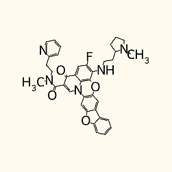 CN(CCc1ccccn1)C(=O)c1cn2c3c(c(NCCC4CCCN4C)c(F)cc3c1=O)Oc1cc3c(cc1-2)oc1ccccc13